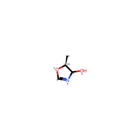 C[C@@H]1O[C]=NC1O